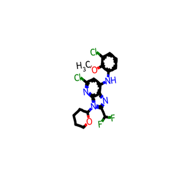 COc1c(Cl)cccc1Nc1cc(Cl)nc2c1nc(C(F)F)n2C1CCCCO1